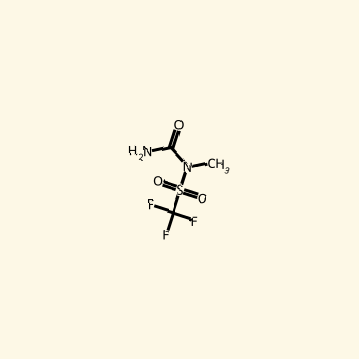 CN(C(N)=O)S(=O)(=O)C(F)(F)F